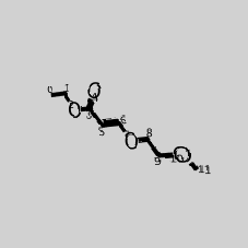 CCOC(=O)C=COCCOC